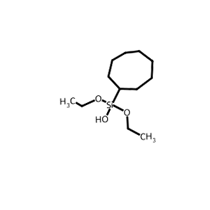 CCO[Si](O)(OCC)C1CCCCCCC1